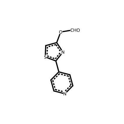 O=COc1csc(-c2ccncc2)n1